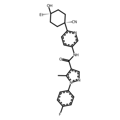 CC[C@]1(O)CC[C@@](C#N)(c2ccc(NC(=O)c3cnn(-c4ccc(F)cc4)c3C)cn2)CC1